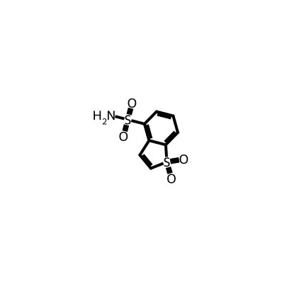 NS(=O)(=O)c1cccc2c1C=CS2(=O)=O